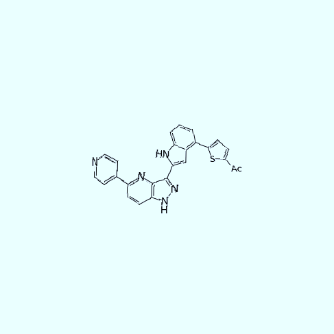 CC(=O)c1ccc(-c2cccc3[nH]c(-c4n[nH]c5ccc(-c6ccncc6)nc45)cc23)s1